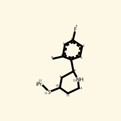 Cc1cc(F)ccc1C1CC(SC(C)C)CCN1